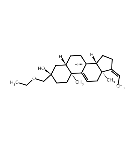 C/C=C1/CC[C@H]2[C@@H]3CC[C@H]4C[C@@](O)(COCC)CC[C@]4(C)C3=CC[C@]12C